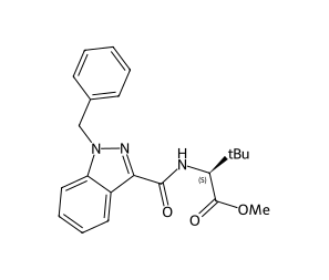 COC(=O)[C@@H](NC(=O)c1nn(Cc2ccccc2)c2ccccc12)C(C)(C)C